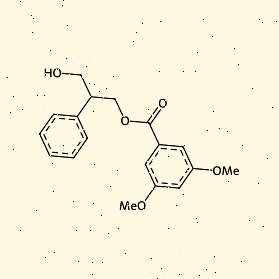 COc1cc(OC)cc(C(=O)OCC(CO)c2ccccc2)c1